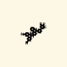 N#Cc1ccc(-c2nc3ccc4c(-c5cccc(-c6cc(F)c(F)c(F)c6)c5)nc5ccccc5c4c3nc2-c2ccc(C#N)cc2)cc1